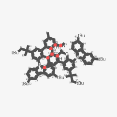 Cc1cc(C#N)cc(-c2cc(C(C)(C)CC(C)(C)C)cc(-n3c4ccc(C(C)(C)C)cc4c4cc(C(C)(C)C)ccc43)c2OCC(O)[CH](Oc2c(-c3cc(C)cc(C#N)c3)cc(C(C)(C)CC(C)(C)C)cc2-n2c3ccc(C(C)(C)C)cc3c3cc(C(C)(C)C)ccc32)[Hf]([CH3])[CH3])c1